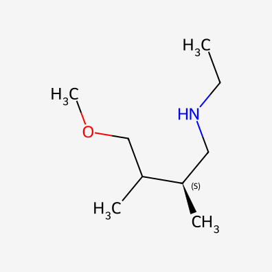 CCNC[C@@H](C)C(C)COC